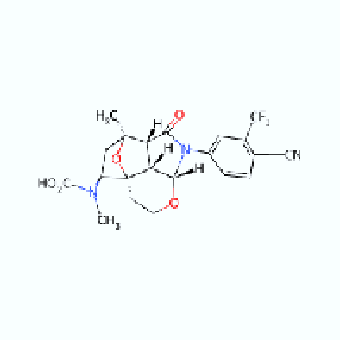 CN(C(=O)O)[C@H]1C[C@]2(C)O[C@]13CCO[C@@H]1[C@H]3[C@H]2C(=O)N1c1ccc(C#N)c(C(F)(F)F)c1